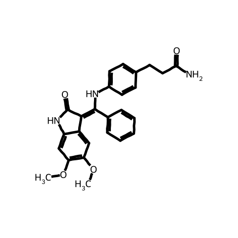 COc1cc2c(cc1OC)/C(=C(/Nc1ccc(CCC(N)=O)cc1)c1ccccc1)C(=O)N2